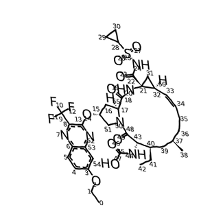 CCOc1ccc2nc(C(F)(F)F)c(O[C@@H]3C[C@H]4C(=O)N[C@]5(C(=O)NS(=O)(=O)C6CC6)C[C@H]5/C=C\CC[C@@H](C)C[C@@H](CC)[C@H](NC(=O)O)C(=O)N4C3)nc2c1